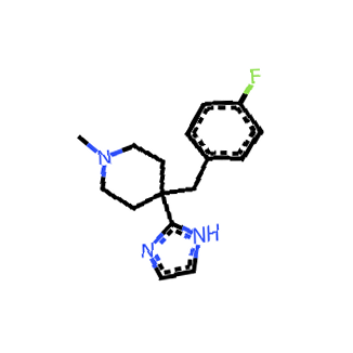 CN1CCC(Cc2ccc(F)cc2)(c2ncc[nH]2)CC1